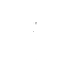 O=[C]Nc1ccc(-c2ccc(Cl)cc2)cn1